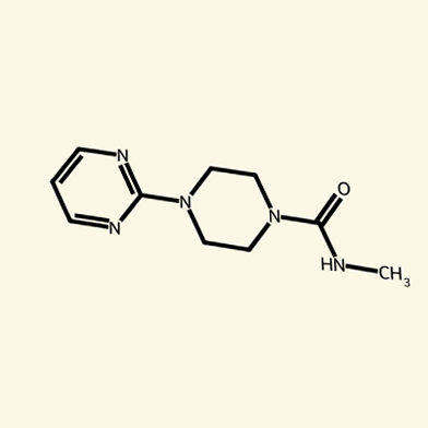 CNC(=O)N1CCN(c2ncccn2)CC1